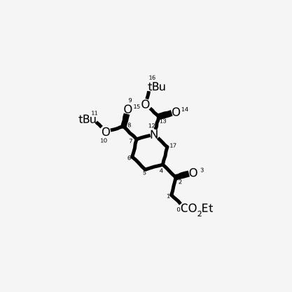 CCOC(=O)CC(=O)C1CCC(C(=O)OC(C)(C)C)N(C(=O)OC(C)(C)C)C1